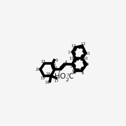 CC1=C(/C=C/c2c(C(=O)O)ccc3ccccc23)C(C)(C)CCC1